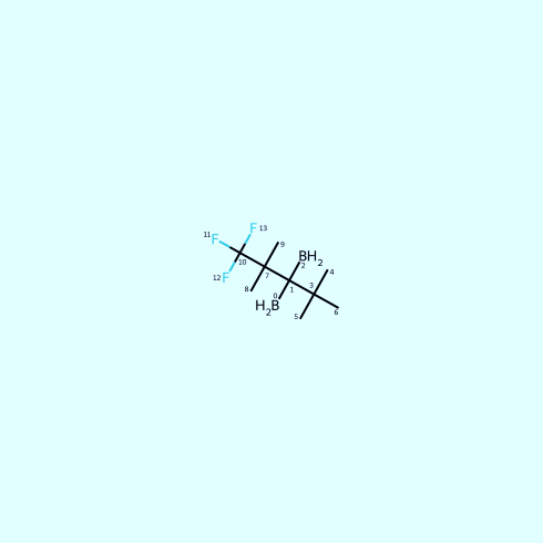 BC(B)(C(C)(C)C)C(C)(C)C(F)(F)F